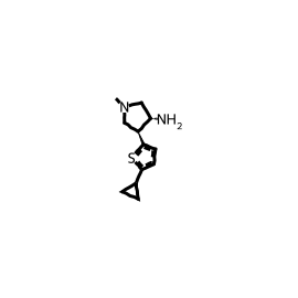 CN1C[C@H](c2ccc(C3CC3)s2)[C@@H](N)C1